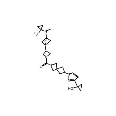 CN(C12CC(C3CN(C(=O)N4CC5(CC(n6cnc(C7(O)CC7)n6)C5)C4)C3)(C1)C2)C1(C(F)(F)F)CC1